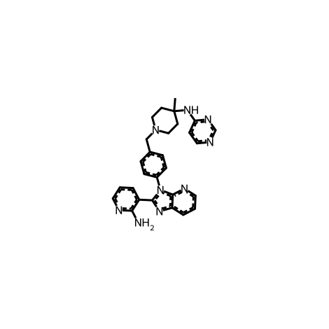 CC1(Nc2ccncn2)CCN(Cc2ccc(-n3c(-c4cccnc4N)nc4cccnc43)cc2)CC1